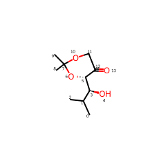 CC(C)[C@H](O)[C@@H]1OC(C)(C)OCC1=O